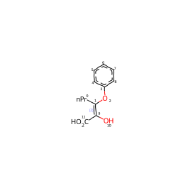 CCC/C(Oc1ccccc1)=C(/O)C(=O)O